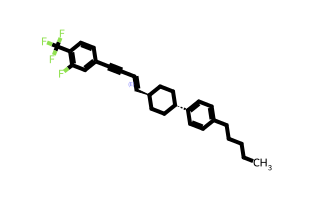 CCCCCc1ccc([C@H]2CC[C@H](/C=C/C#Cc3ccc(C(F)(F)F)c(F)c3)CC2)cc1